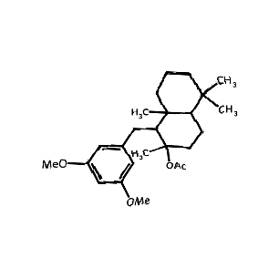 COc1cc(CC2C(C)(OC(C)=O)CCC3C(C)(C)CCCC32C)cc(OC)c1